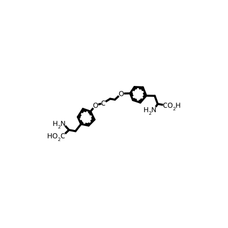 NC(Cc1ccc(OCCCOc2ccc(CC(N)C(=O)O)cc2)cc1)C(=O)O